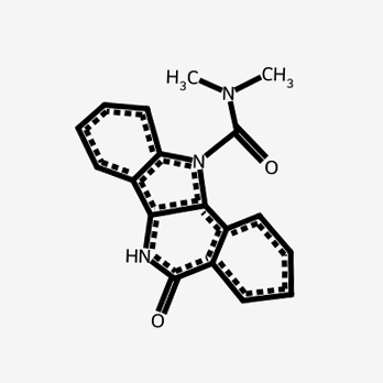 CN(C)C(=O)n1c2ccccc2c2[nH]c(=O)c3ccccc3c21